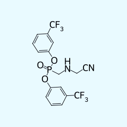 N#CCNCP(=O)(Oc1cccc(C(F)(F)F)c1)Oc1cccc(C(F)(F)F)c1